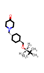 CC(C)(C)[Si](C)(C)OC[C@H]1CC[C@H](CN2CCC(=O)CC2)CC1